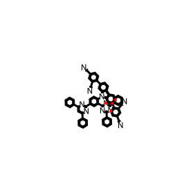 N#Cc1ccc(-c2ccc3c4ccc(-c5ccc(C#N)cc5C#N)cc4n(-c4ccc(-c5nc(-c6ccccc6)cc(-c6ccccc6)n5)cc4-c4nc(-c5ccccc5)nc(-c5ccccc5)n4)c3c2)c(C#N)c1